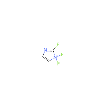 FC1=NC=C[N+]1(F)F